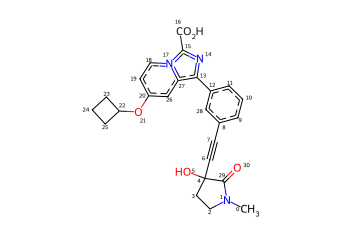 CN1CCC(O)(C#Cc2cccc(-c3nc(C(=O)O)n4ccc(OC5CCC5)cc34)c2)C1=O